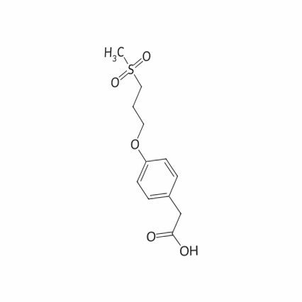 CS(=O)(=O)CCCOc1ccc(CC(=O)O)cc1